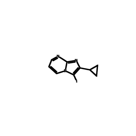 Ic1c(C2CC2)nc2ncccn12